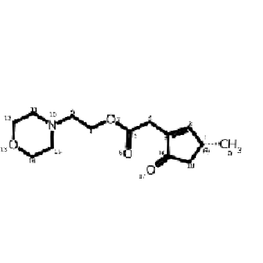 C[C@H]1C=C(CC(=O)OCCN2CCOCC2)C(=O)C1